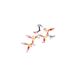 CCO.O=[PH]([O-])O[PH](=O)[O-].O=[PH]([O-])O[PH](=O)[O-].[Mo+4]